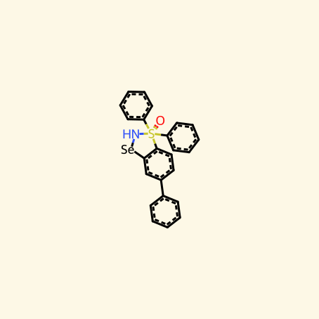 O=S1(c2ccccc2)(c2ccccc2)N[Se]c2cc(-c3ccccc3)ccc21